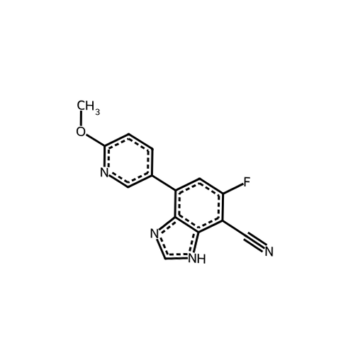 COc1ccc(-c2cc(F)c(C#N)c3[nH]cnc23)cn1